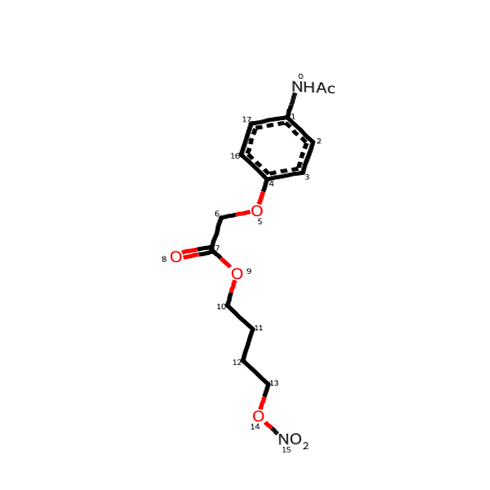 CC(=O)Nc1ccc(OCC(=O)OCCCCO[N+](=O)[O-])cc1